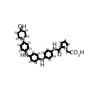 O=C(O)Cn1cccc1C(=O)Nc1ccc(Nc2ccc(Nc3ccc(N4CCC(O)CC4)cc3)cc2)cc1